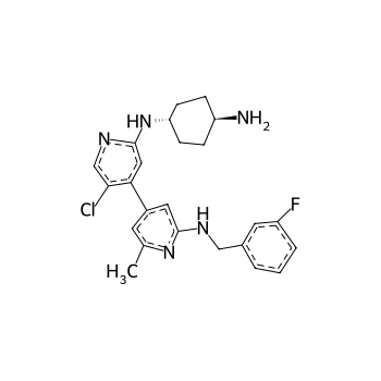 Cc1cc(-c2cc(N[C@H]3CC[C@H](N)CC3)ncc2Cl)cc(NCc2cccc(F)c2)n1